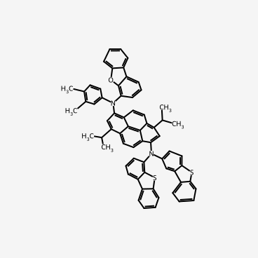 Cc1ccc(N(c2cc(C(C)C)c3ccc4c(N(c5ccc6sc7ccccc7c6c5)c5cccc6c5sc5ccccc56)cc(C(C)C)c5ccc2c3c54)c2cccc3c2oc2ccccc23)cc1C